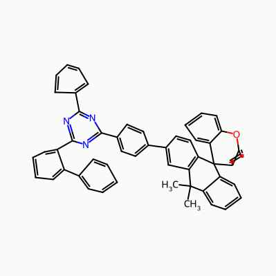 CC1(C)c2ccccc2C2(c3ccccc3Oc3ccccc32)c2ccc(-c3ccc(-c4nc(-c5ccccc5)nc(-c5ccccc5-c5ccccc5)n4)cc3)cc21